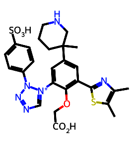 Cc1nc(-c2cc(C3(C)CCCNC3)cc(-[n+]3cnnn3-c3ccc(S(=O)(=O)O)cc3)c2OCC(=O)O)sc1C